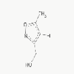 Cc1onc(CO)c1I